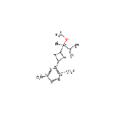 CC(C)C(C(C)C)C(O[SiH3])(C(C)C)C1CC(c2cc([N+](=O)[O-])ccc2C(=O)O)C1